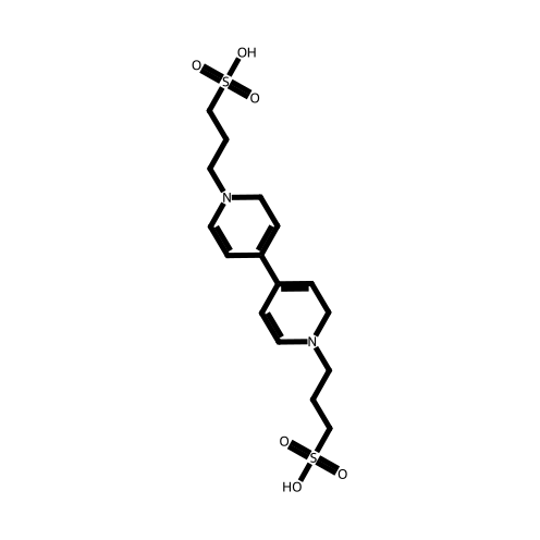 O=S(=O)(O)CCCN1C=CC(C2=CCN(CCCS(=O)(=O)O)C=C2)=CC1